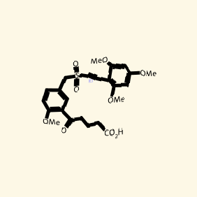 COc1cc(OC)c(/C=C/S(=O)(=O)Cc2ccc(OC)c(C(=O)CCCC(=O)O)c2)c(OC)c1